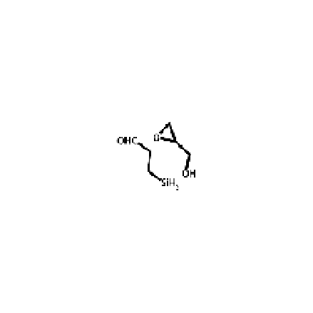 O=CCC[SiH3].OCC1CO1